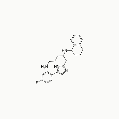 NCCCC(Cc1ncc(-c2ccc(F)cc2)[nH]1)NC1CCCc2cccnc21